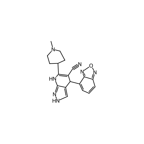 CN1CCC(C2=C(C#N)C(c3cccc4nonc34)c3c[nH]nc3N2)CC1